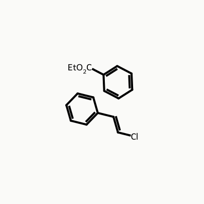 CCOC(=O)c1ccccc1.ClC=Cc1ccccc1